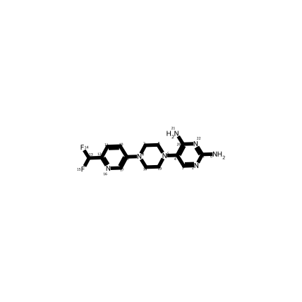 Nc1ncc(N2CCN(c3ccc(C(F)F)nc3)CC2)c(N)n1